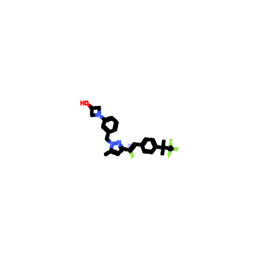 Cc1cc(/C(F)=C/c2ccc(C(C)(C)C(F)(F)F)cc2)nn1Cc1cccc(N2CC(O)C2)c1